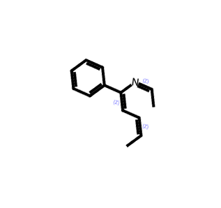 C\C=C/C=C(\N=C/C)c1ccccc1